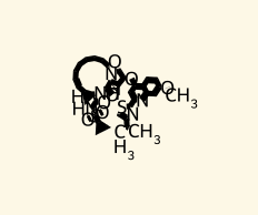 COc1ccc2c(O[C@@H]3C[C@H]4C(=O)N[C@]5(C(=O)NS(=O)(=O)C6CC6)C[C@H]5/C=C\CCCCCC(=O)N4C3)cc(-c3nc(C(C)C)cs3)nc2c1